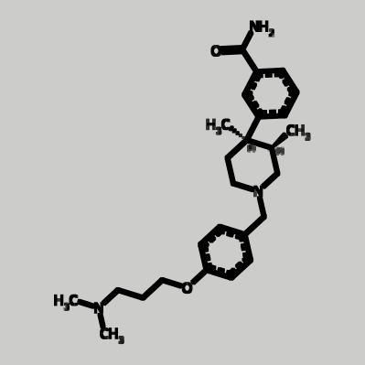 C[C@H]1CN(Cc2ccc(OCCCN(C)C)cc2)CC[C@@]1(C)c1cccc(C(N)=O)c1